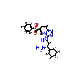 N[C@@H](CNc1nnc2ccc(S(=O)(=O)c3ccccc3)cn12)C1CCCCC1